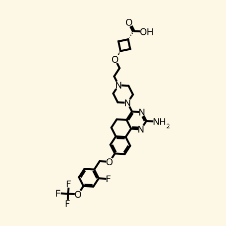 Nc1nc2c(c(N3CCN(CCO[C@H]4C[C@@H](C(=O)O)C4)CC3)n1)CCc1cc(OCc3ccc(OC(F)(F)F)cc3F)ccc1-2